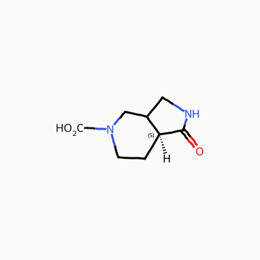 O=C1NCC2CN(C(=O)O)CC[C@H]12